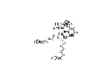 CCCCCCCCCCCCCCCCNN(CCCCCCCCCCCCCCCC)[C@@H]1c2cnccc2OC(C)(C)[C@H]1OC(C)=O